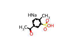 CC(=O)c1ccc(C)c(S(=O)(=O)O)c1.[NaH]